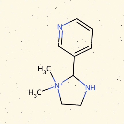 C[N+]1(C)CCNC1c1cccnc1